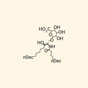 CCCCCCCCCCCCCCC[C@@H](O)[C@H](COC1OC(C(=O)O)C(O)C(O)C1O)NC(=O)CCCCCCCCCCCCC